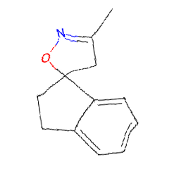 CC1=NOC2(CCc3ccccc32)C1